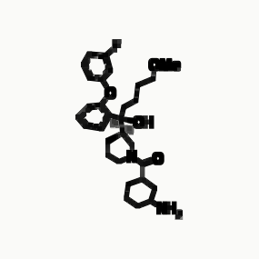 COCCCC[C@@](O)(c1ccccc1Oc1cccc(F)c1)[C@@H]1CCCN(C(=O)C2CCCC(N)C2)C1